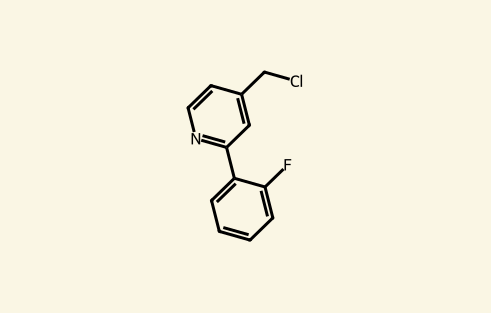 Fc1ccccc1-c1cc(CCl)ccn1